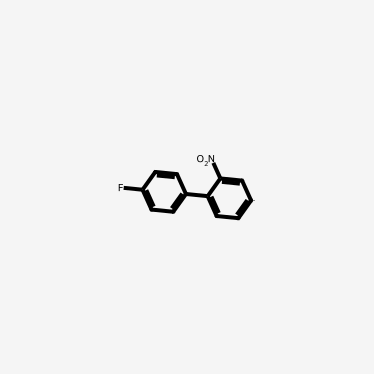 O=[N+]([O-])c1c[c]ccc1-c1ccc(F)cc1